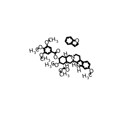 COC(=O)[C@H]1[C@H]2C[C@@H]3c4[nH]c5cc(OC)ccc5c4CCN3C[C@H]2C[C@@H](OC(=O)c2cc(OC)c(OC)c(OC)c2)[C@@H]1OC.c1ccc2occc2c1